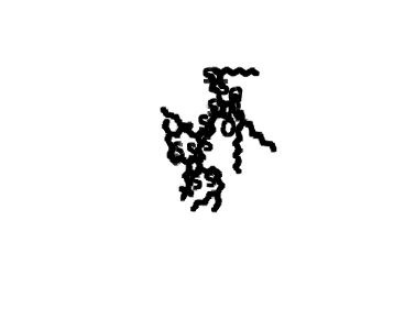 CCCCCCCCC(CCCCCC)CN1C(=O)c2c(-c3cc4scc(CCCCCC)c4s3)sc(-c3cc4sc(-c5cc6c(-c7ccc(CC(CC)CCCC)s7)c7sc(C(C)(C)C)cc7c(-c7ccc(CC(CC)CCCC)s7)c6s5)c(CCCCCC)c4s3)c2C1=O